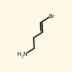 NCCC=CBr